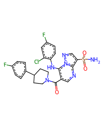 NS(=O)(=O)c1cnn2c(Nc3ccc(F)cc3Cl)c(C(=O)N3CCC(c4ccc(F)cc4)CC3)cnc12